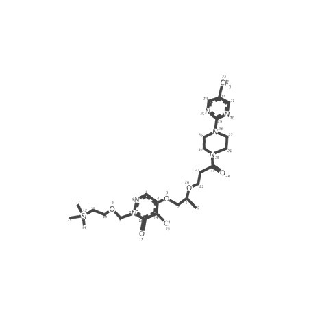 CC(COc1cnn(COCC[Si](C)(C)C)c(=O)c1Cl)OCCC(=O)N1CCN(c2ncc(C(F)(F)F)cn2)CC1